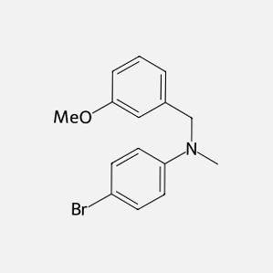 COc1cccc(CN(C)c2ccc(Br)cc2)c1